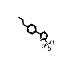 CCCc1ccc(-c2ccc(S(=O)(=O)Cl)s2)cc1